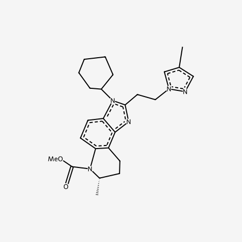 COC(=O)N1c2ccc3c(nc(CCn4cc(C)cn4)n3C3CCCCC3)c2CC[C@@H]1C